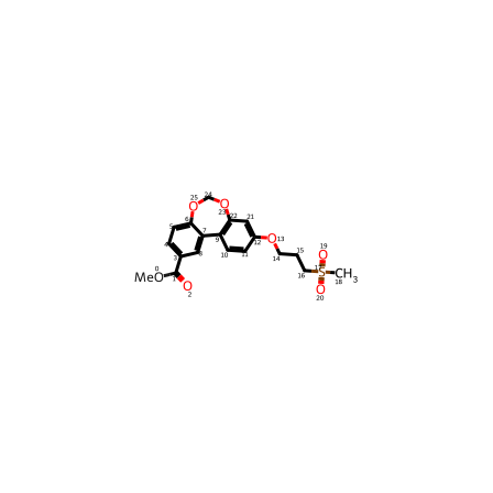 COC(=O)c1ccc2c(c1)-c1ccc(OCCCS(C)(=O)=O)cc1OCO2